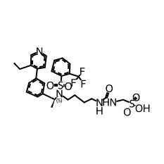 CCc1cnccc1-c1cccc([C@H](C)N(CCCCNC(=O)NCS(=O)(=O)O)S(=O)(=O)c2ccccc2C(F)(F)F)c1